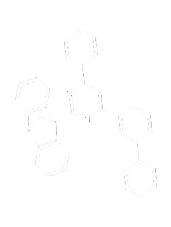 c1ccc(-c2cccc(-c3cc(-c4ccccc4)nc(C45CC(c6ccccc64)c4ccccc45)n3)c2)cc1